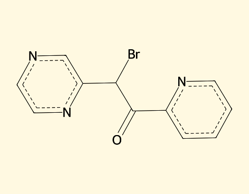 O=C(c1ccccn1)C(Br)c1cnccn1